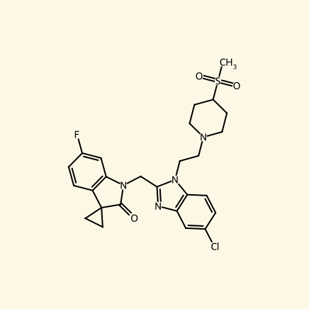 CS(=O)(=O)C1CCN(CCn2c(CN3C(=O)C4(CC4)c4ccc(F)cc43)nc3cc(Cl)ccc32)CC1